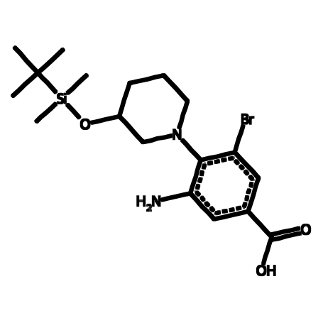 CC(C)(C)[Si](C)(C)OC1CCCN(c2c(N)cc(C(=O)O)cc2Br)C1